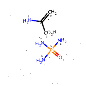 C=C(N)C(=O)O.NP(N)(N)=O